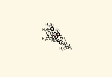 CCCC(C)Oc1nc(N(Cc2ccc(OC)cc2OC)Cc2ccc(OC)cc2OC)c2ncc(C3(O)CC4(CCN(C(=O)OC(C)(C)C)CC4)C3)n2n1